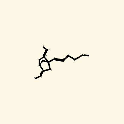 CC=C1CC2(C=CCCCC)CC1CC2=CC